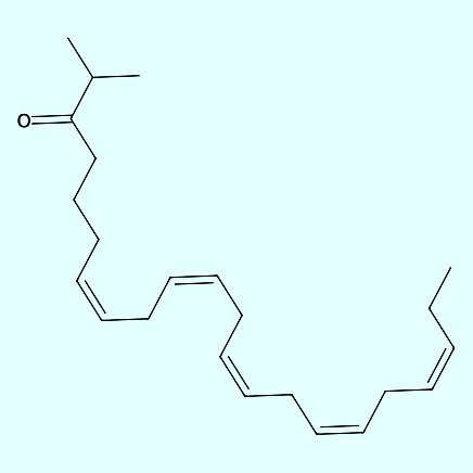 CC/C=C\C/C=C\C/C=C\C/C=C\C/C=C\CCCC(=O)C(C)C